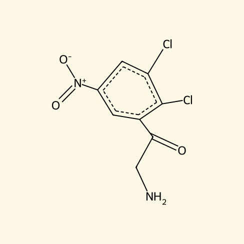 NCC(=O)c1cc([N+](=O)[O-])cc(Cl)c1Cl